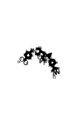 COC(=O)c1ccc(CN2CCC(CN(C(=O)C(F)(F)F)[C@H]3C[C@@H]3c3ccc(-c4cnn(C)c4)cc3)CC2)cc1